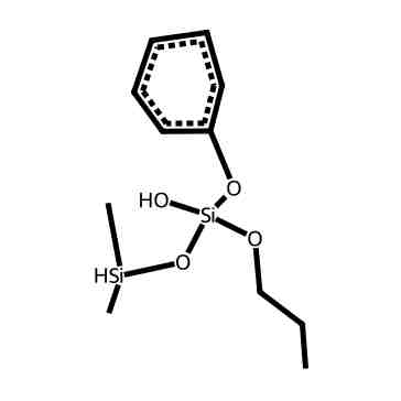 CCCO[Si](O)(Oc1ccccc1)O[SiH](C)C